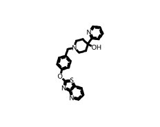 OC1(c2ccccn2)CCN(Cc2ccc(Oc3nc4ncccc4s3)cc2)CC1